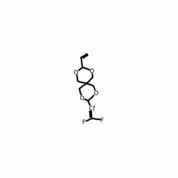 C=CC1OCC2(CO1)CO[CH]([Cf]=[C](F)F)OC2